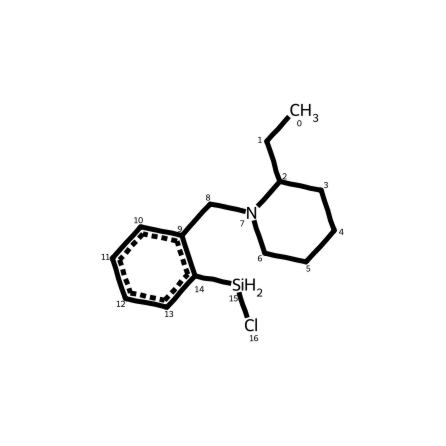 CCC1CCCCN1Cc1ccccc1[SiH2]Cl